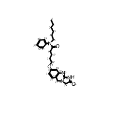 CCCCCCN(C(=O)CCCCOc1ccc2c(c1)N=C1NC(=O)CN1C2)c1ccccc1